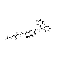 C=CCOC(=O)NCCCCC(NC(=O)OCC1c2ccccc2-c2ccccc21)C(=O)O